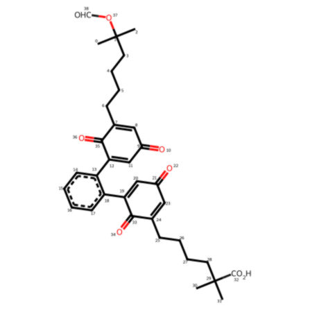 CC(C)(CCCCC1=CC(=O)C=C(c2ccccc2C2=CC(=O)C=C(CCCCC(C)(C)C(=O)O)C2=O)C1=O)OC=O